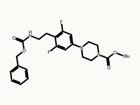 CC(C)(C)OC(=O)N1CCN(c2cc(F)c(CCNC(=O)OCc3ccccc3)c(F)c2)CC1